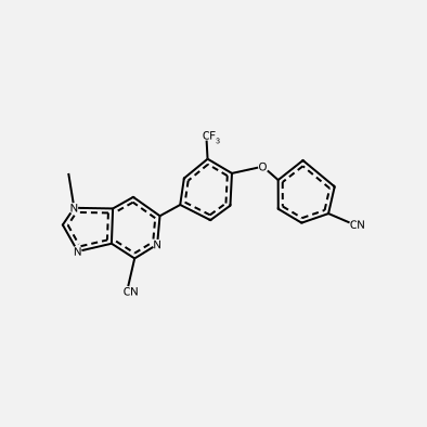 Cn1cnc2c(C#N)nc(-c3ccc(Oc4ccc(C#N)cc4)c(C(F)(F)F)c3)cc21